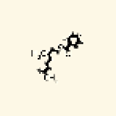 C/C(I)=C/CC[C@H](C)CCOC(=O)c1ccccc1